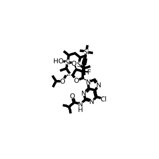 CC(C)OC[C@H]1O[C@@H](n2cnc3c(Cl)nc(NC(=O)C(C)C)nc32)[C@@](F)(C#C[Si](C)(C)C)[C@@H]1O[Si](O)(C(C)C)C(C)CC(C)SC(C)C